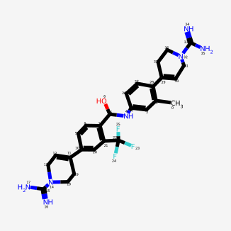 Cc1cc(NC(O)c2ccc(C3=CCN(C(=N)N)CC3)cc2C(F)(F)F)ccc1C1=CCN(C(=N)N)CC1